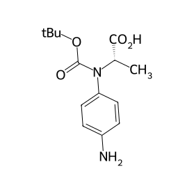 C[C@@H](C(=O)O)N(C(=O)OC(C)(C)C)c1ccc(N)cc1